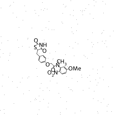 COc1ccc([N+](=O)[O-])c(N(C)C(=O)COc2ccc(CC3SC(=O)NC3=O)cc2)c1